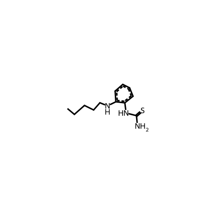 CCCCCNc1ccccc1NC(N)=S